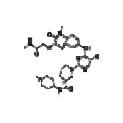 CNC(=O)COc1cc2cc(Nc3nc(N4CCC[C@@H](C(=O)N(C)C5CCN(C)CC5)C4)ncc3Cl)ccc2n(C)c1=O